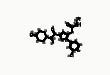 CC(C)NC(=O)Cn1cc(C(=O)N(C)C2CCC(=O)CC2)nc1-c1cccc(Cl)c1